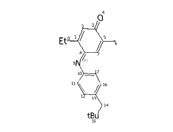 CCC1=CC(=O)C(C)=C/C1=N\c1ccc(CC(C)(C)C)cc1